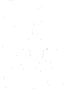 CCOC1O[C@H](CC[PH](=O)O)[C@@H](O)[C@H](O)[C@@H]1O